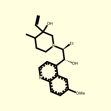 C=CC1(O)CN([C@@H](CC)[C@H](O)c2ccnc3ccc(OC)cc23)CCC1C